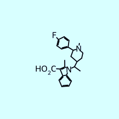 Cc1c(C(=O)O)c2ccccc2n1C(C)C1CCN(C)C(c2ccc(F)cc2)C1